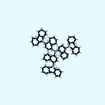 c1ccc2c(-n3c4ccccc4c4ccccc43)ccc(B(c3ccc(-n4c5ccccc5c5ccccc54)c4ccccc34)c3ccc(-n4c5ccccc5c5ccccc54)c4ccccc34)c2c1